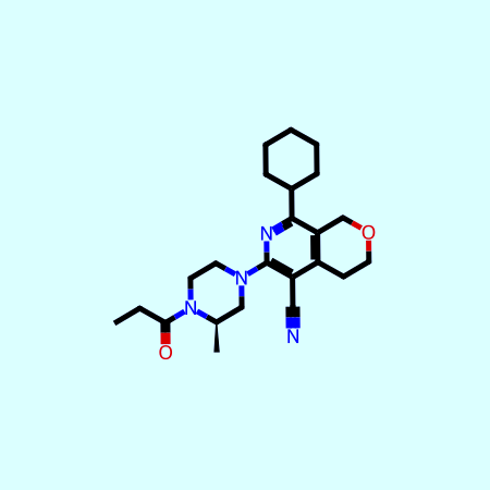 CCC(=O)N1CCN(c2nc(C3CCCCC3)c3c(c2C#N)CCOC3)C[C@H]1C